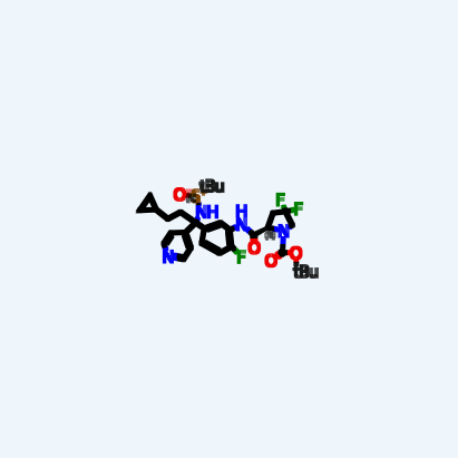 CC(C)(C)OC(=O)N1CC(F)(F)C[C@@H]1C(=O)Nc1cc(C(CCC2CC2)(N[S@+]([O-])C(C)(C)C)c2ccncc2)ccc1F